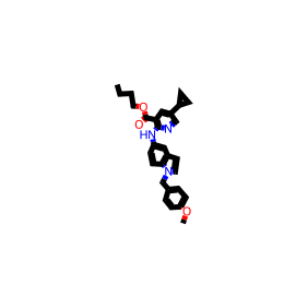 CCCCOC(=O)c1cc(C2CC2)cnc1Nc1ccc2c(ccn2Cc2ccc(OC)cc2)c1